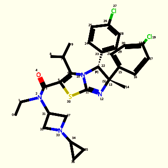 CCN(C(=O)C1=C(C(C)C)N2C(=N[C@@](C)(c3ccc(Cl)cc3)[C@H]2c2ccc(Cl)cc2)S1)C1CN(C2CC2)C1